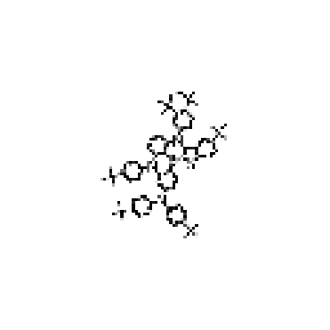 CC(C)(C)c1ccc(N(c2ccc(C(C)(C)C)cc2)c2ccc3c(c2)N(c2ccc(C(C)(C)C)cc2)c2cccc4c2B3c2sc3ccc(C(C)(C)C)cc3c2N4c2ccc3c(c2)C(C)(C)CCC3(C)C)cc1